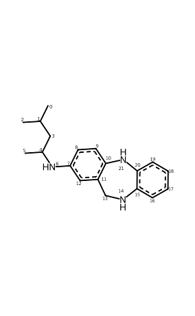 CC(C)CC(C)Nc1ccc2c(c1)CNc1ccccc1N2